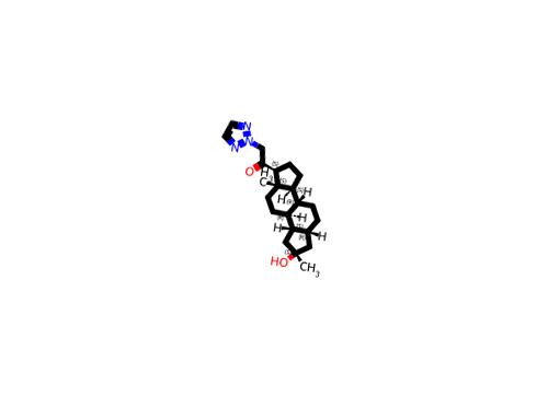 C[C@]1(O)C[C@H]2CC[C@@H]3[C@H](CC[C@]4(C)[C@@H](C(=O)Cn5nccn5)CC[C@@H]34)[C@H]2C1